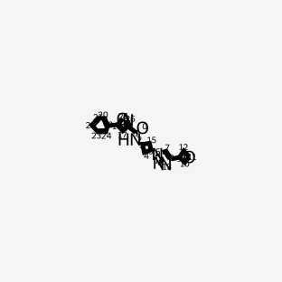 O=C(N[C@H]1C[C@H](n2cc(C3COC3)nn2)C1)c1cc(-c2ccccc2)on1